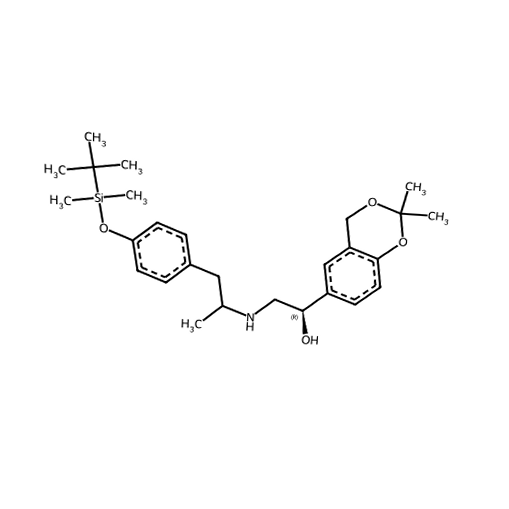 CC(Cc1ccc(O[Si](C)(C)C(C)(C)C)cc1)NC[C@H](O)c1ccc2c(c1)COC(C)(C)O2